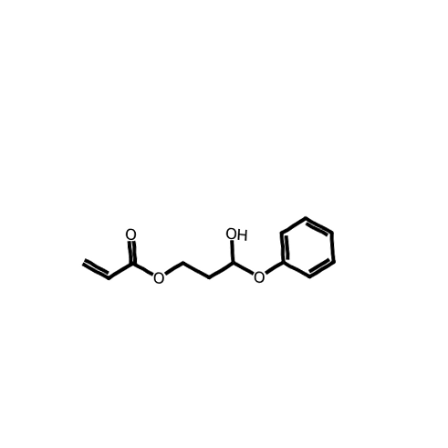 C=CC(=O)OCCC(O)Oc1ccccc1